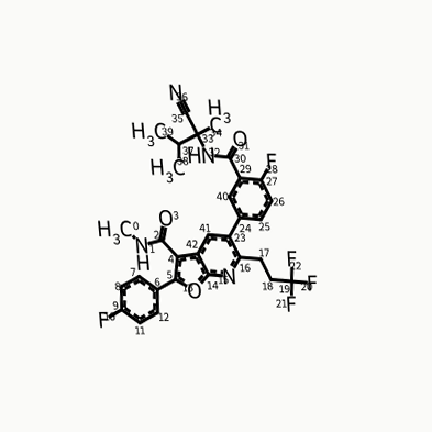 CNC(=O)c1c(-c2ccc(F)cc2)oc2nc(CCC(F)(F)F)c(-c3ccc(F)c(C(=O)NC(C)(C#N)C(C)C)c3)cc12